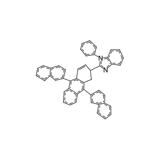 C1=CC(c2nc3ccccc3n2-c2ccccc2)Cc2c1c(-c1ccc3ccccc3c1)c1ccccc1c2-c1ccc2ccccc2c1